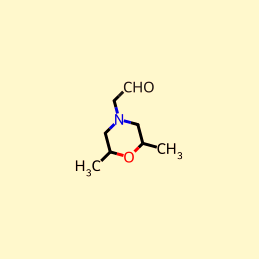 CC1CN(CC=O)CC(C)O1